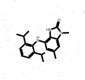 Cc1cc(Nc2c(C(C)C)cccc2C(C)C)c2[nH]c(=O)n(C)c2c1